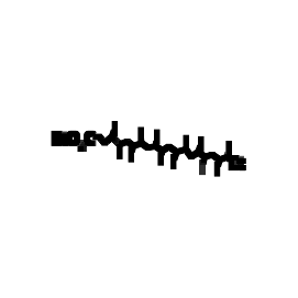 CCOC(=O)CCC(I)C(I)CC(I)C(I)CC(I)C(I)CC(I)C(I)CC(I)C(I)CC(I)C(I)CC